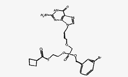 Nc1nc2c(ncn2CCOCP(=O)(OCCSC(=O)C2CCC2)OCc2cccc(Br)c2)c(=O)[nH]1